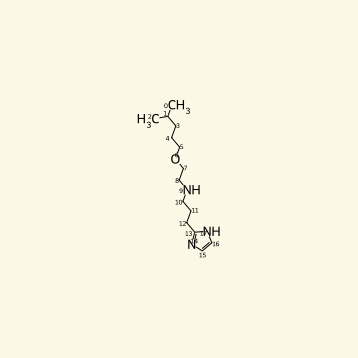 CC(C)CCCOCCNCCCc1ncc[nH]1